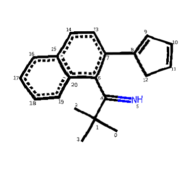 CC(C)(C)C(=N)c1c(C2=CC=CC2)ccc2ccccc12